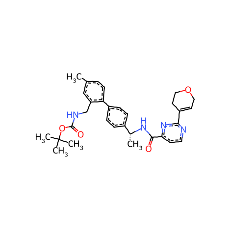 Cc1ccc(-c2ccc([C@@H](C)NC(=O)c3ccnc(C4=CCOCC4)n3)cc2)c(CNC(=O)OC(C)(C)C)c1